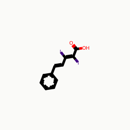 O=C(O)C(I)=C(I)C=Cc1ccccc1